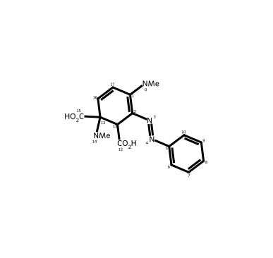 CNC1=C(N=Nc2ccccc2)C(C(=O)O)C(NC)(C(=O)O)C=C1